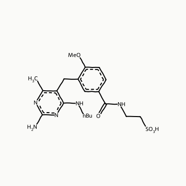 CCCCNc1nc(N)nc(C)c1Cc1cc(C(=O)NCCS(=O)(=O)O)ccc1OC